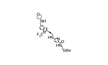 CSCCNC(=O)c1ccc(NCC#Cc2cc3cc(CNC4CCOCC4)ccc3n2CC(F)(F)F)cn1